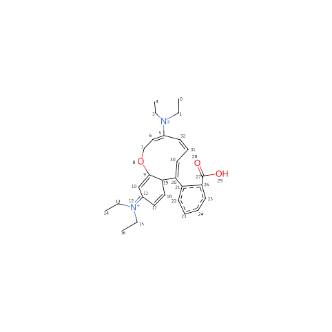 CCN(CC)C1=C/COC2=CC(=[N+](CC)CC)C=CC2/C(c2ccccc2C(=O)O)=C/C=C\1